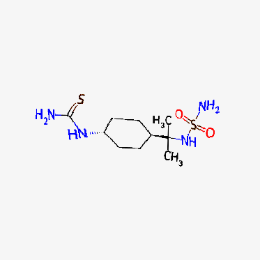 CC(C)(NS(N)(=O)=O)[C@H]1CC[C@H](NC(N)=S)CC1